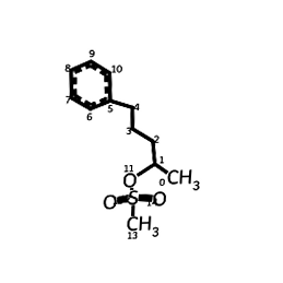 CC(CCCc1ccccc1)OS(C)(=O)=O